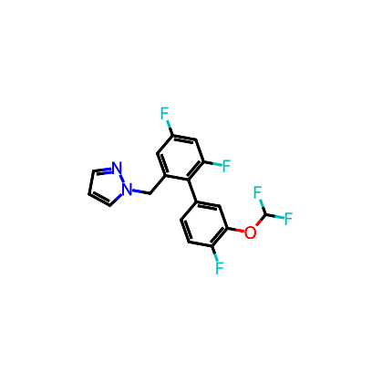 Fc1cc(F)c(-c2ccc(F)c(OC(F)F)c2)c(Cn2cccn2)c1